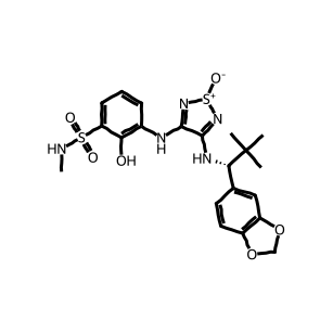 CNS(=O)(=O)c1cccc(Nc2n[s+]([O-])nc2N[C@@H](c2ccc3c(c2)OCO3)C(C)(C)C)c1O